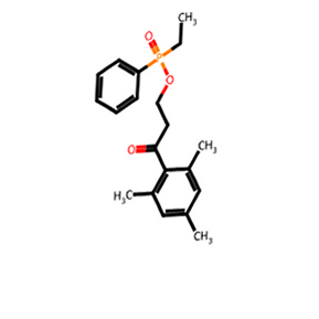 CCP(=O)(OCCC(=O)c1c(C)cc(C)cc1C)c1ccccc1